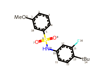 COc1cccc(S(=O)(=O)Nc2ccc(C(C)(C)C)c(F)c2)c1